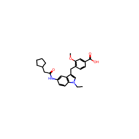 CCn1cc(Cc2ccc(C(=O)O)cc2OC)c2cc(NC(=O)CC3CCCC3)ccc21